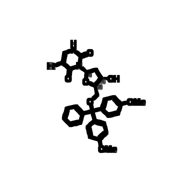 CCc1c[nH]c(=O)n([C@H]2C[C@H](O)[C@@H](COC(c3ccccc3)(c3ccc(OC)cc3)c3ccc(OC)cc3)O2)c1=O